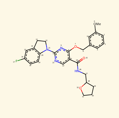 COc1cccc(COc2nc(N3CCc4cc(F)ccc43)ncc2C(=O)NCC2CCCO2)c1